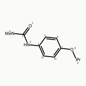 CNC(=O)Nc1ccc(OC(C)C)cc1